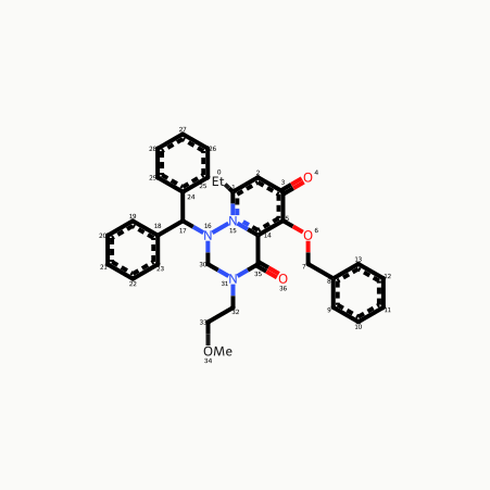 CCc1cc(=O)c(OCc2ccccc2)c2n1N(C(c1ccccc1)c1ccccc1)CN(CCOC)C2=O